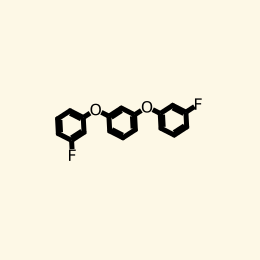 Fc1cccc(Oc2cccc(Oc3cccc(F)c3)c2)c1